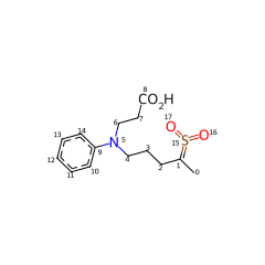 CC(CCCN(CCC(=O)O)c1ccccc1)=S(=O)=O